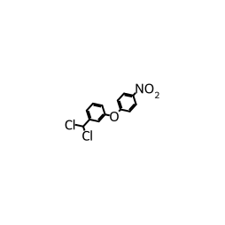 O=[N+]([O-])c1ccc(Oc2cccc(C(Cl)Cl)c2)cc1